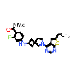 CNC(=O)c1ccc(NC2CC3(CCN(c4ncnc5sc(CC(F)(F)F)cc45)C3)C2)cc1F